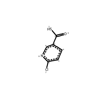 O=C(S)c1ccc(Cl)nc1